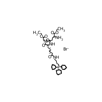 CCOC(=O)CNC(=O)[C@H](CSSCC(=O)NCCCC[P+](c1ccccc1)(c1ccccc1)c1ccccc1)NC(=O)CC[C@H](N)C(=O)OCC.[Br-]